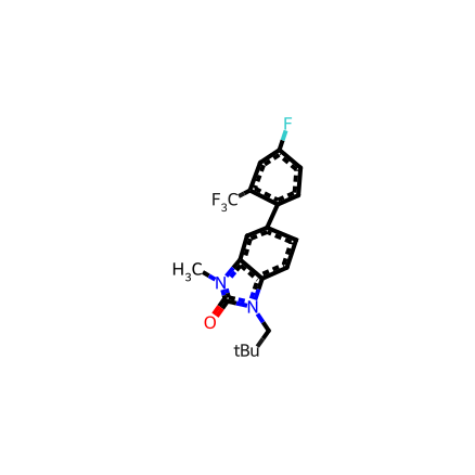 Cn1c(=O)n(CC(C)(C)C)c2ccc(-c3ccc(F)cc3C(F)(F)F)cc21